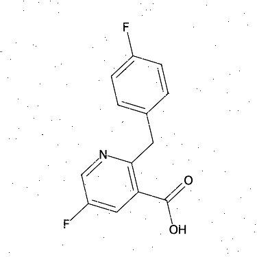 O=C(O)c1cc(F)cnc1Cc1ccc(F)cc1